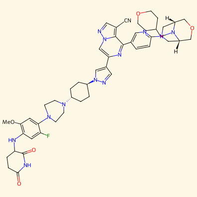 COc1cc(N2CCN([C@H]3CC[C@H](n4cc(-c5cn6ncc(C#N)c6c(-c6ccc(N7C[C@H]8COC[C@@H](C7)N8CC7CCOCC7)nc6)n5)cn4)CC3)CC2)c(F)cc1NC1CCC(=O)NC1=O